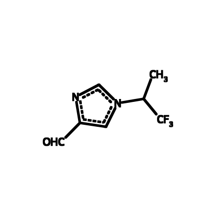 CC(n1cnc(C=O)c1)C(F)(F)F